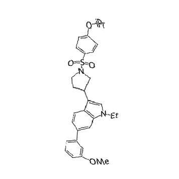 CCn1cc(C2CCN(S(=O)(=O)c3ccc(OC(C)C)cc3)C2)c2ccc(-c3cccc(OC)c3)cc21